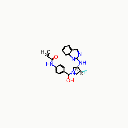 C=CC(=O)Nc1ccc(C(O)N2C[C@H](Nc3ncc4ccccc4n3)[C@@H](F)C2)cc1